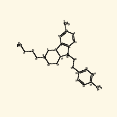 Cc1ccc2c(c1)C1CN(CCCO)CCC1N2CCc1ccc(C)nc1